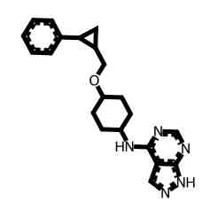 c1ccc(C2CC2COC2CCC(Nc3ncnc4[nH]ncc34)CC2)cc1